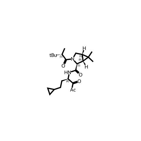 CC(=O)C(=O)[C@@H](CCC1CC1)NC(=O)[C@@H]1[C@@H]2[C@H](CN1C(=O)[C@@H](C)C(C)(C)C)C2(C)C